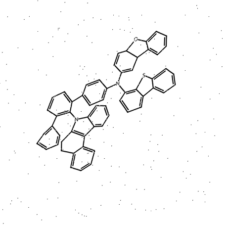 C1=CC2Oc3ccccc3C2C=C1N(c1ccc(-c2cccc(-c3ccccc3)c2-n2c3c(c4ccccc42)-c2ccccc2CC3)cc1)c1cccc2c1sc1ccccc12